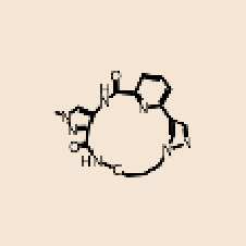 Cn1cc2c(n1)C(=O)NCCCCn1cc(cn1)-c1cccc(n1)C(=O)N2